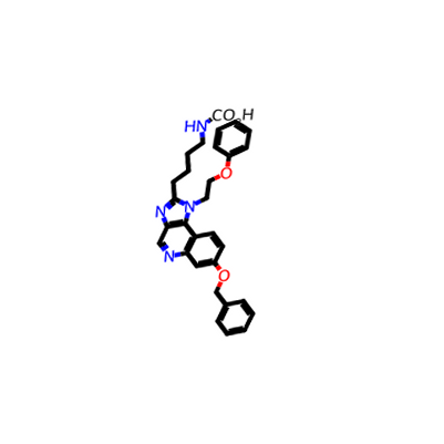 O=C(O)NCCCCc1nc2cnc3cc(OCc4ccccc4)ccc3c2n1CCOc1ccccc1